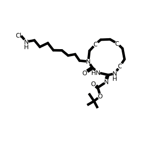 CC(C)(C)OC(=O)/N=C1/NCCCCCCCCN(CCCCCCCCNCl)C(=O)N1